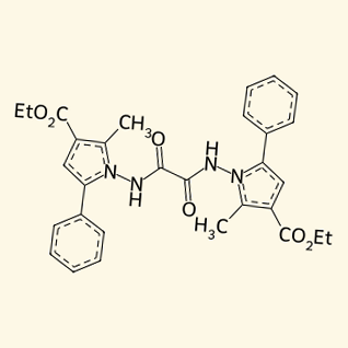 CCOC(=O)c1cc(-c2ccccc2)n(NC(=O)C(=O)Nn2c(-c3ccccc3)cc(C(=O)OCC)c2C)c1C